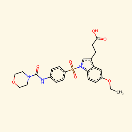 CCOc1ccc2c(c1)c(CCC(=O)O)cn2S(=O)(=O)c1ccc(NC(=O)N2CCOCC2)cc1